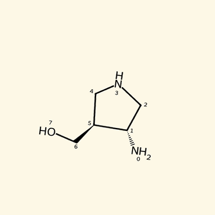 N[C@H]1CNC[C@@H]1CO